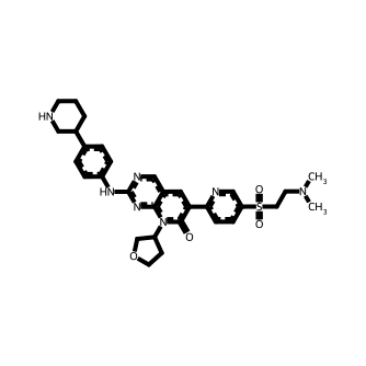 CN(C)CCS(=O)(=O)c1ccc(-c2cc3cnc(Nc4ccc(C5CCCNC5)cc4)nc3n(C3CCOC3)c2=O)nc1